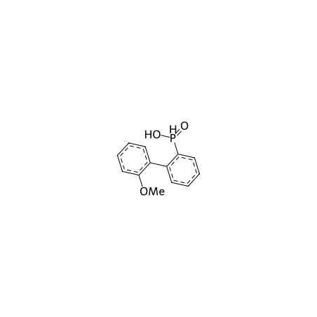 COc1ccccc1-c1ccccc1[PH](=O)O